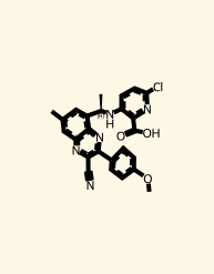 COc1ccc(-c2nc3c([C@@H](C)Nc4ccc(Cl)nc4C(=O)O)cc(C)cc3nc2C#N)cc1